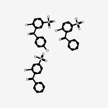 O=C(c1ccc(Cl)cc1)c1cc(S(=O)(=O)Cl)ccc1Cl.O=C(c1ccccc1)c1cc(S(=O)(=O)Cl)ccc1Cl.O=C(c1ccccc1)c1ccc(S(=O)(=O)Cl)cc1Cl